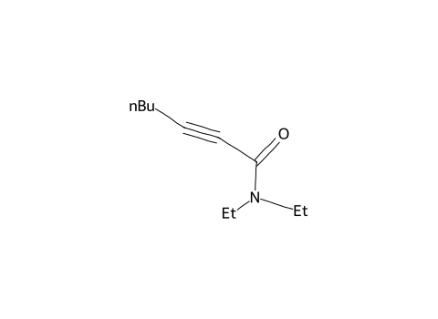 CCCCC#CC(=O)N(CC)CC